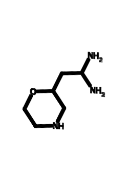 NC(N)CC1CNCCO1